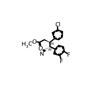 COC(=O)C[C@@H](c1cccc(Cl)c1)[C@@H](C#N)c1ccc(F)c(F)c1